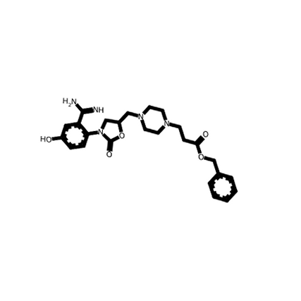 N=C(N)c1cc(O)ccc1N1CC(CN2CCN(CCC(=O)OCc3ccccc3)CC2)OC1=O